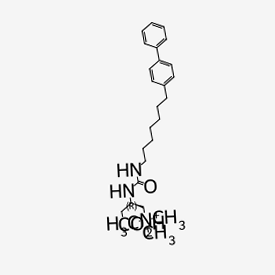 C[N+](C)(C)C[C@@H](CC(=O)O)NC(=O)NCCCCCCCc1ccc(-c2ccccc2)cc1